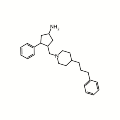 NC1CC(CN2CCC(CCCc3ccccc3)CC2)C(c2ccccc2)C1